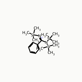 C[Si](C)(C)/N=C(\c1ccccc1)N([Si](C)(C)C)[Si](C)(C)C